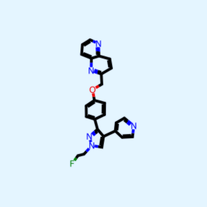 FCCn1cc(-c2ccncc2)c(-c2ccc(OCc3ccc4ncccc4n3)cc2)n1